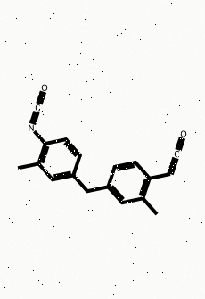 Cc1cc(Cc2ccc(N=C=O)c(C)c2)ccc1C=C=O